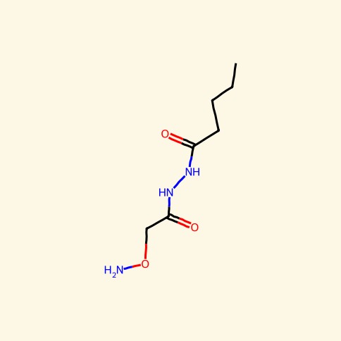 CCCCC(=O)NNC(=O)CON